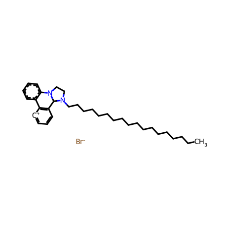 CCCCCCCCCCCCCCCCCCN1CCN2c3ccccc3C3=C(C=CC=[C+]3)C12.[Br-]